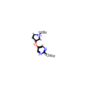 COc1ncc(OC2CCN(C(C)(C)C)C2)cn1